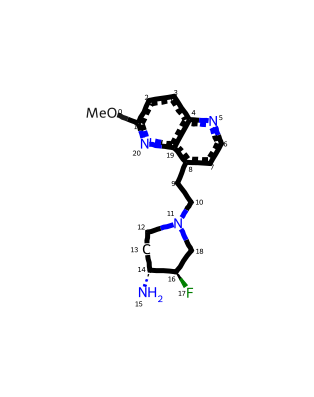 COc1ccc2nccc(CCN3CC[C@@H](N)[C@H](F)C3)c2n1